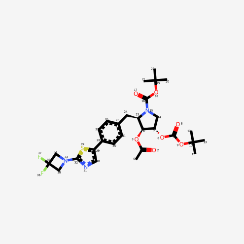 CC(=O)O[C@@H]1[C@@H](OC(=O)OC(C)(C)C)CN(C(=O)OC(C)(C)C)[C@@H]1Cc1ccc(-c2cnc(N3CC(F)(F)C3)s2)cc1